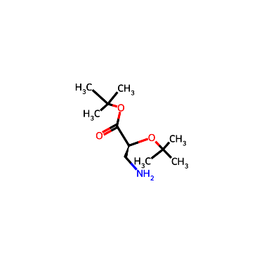 CC(C)(C)OC(=O)[C@H](CN)OC(C)(C)C